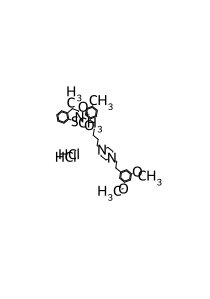 COc1cc(CCN2CCN(CCCCOc3ccc(C)cc3[N+]3(C)Sc4ccccc4C(C)C3=O)CC2)cc(OC)c1.Cl.Cl